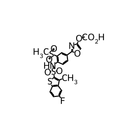 Cc1c(S(=O)(=O)Nc2ccc(-c3nc(OC(=O)O)co3)cc2S(C)(=O)=O)sc2ccc(F)cc12